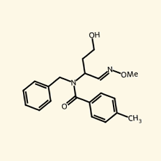 CON=CC(CCO)N(Cc1ccccc1)C(=O)c1ccc(C)cc1